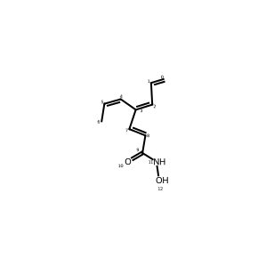 C=C/C=C(\C=C/C)/C=C/C(=O)NO